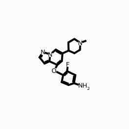 CN1CCC(c2cc(Oc3ccc(N)cc3F)c3ccnn3c2)CC1